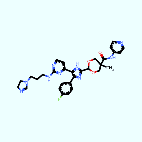 CC1(C(=O)Nc2ccncc2)COC(c2nc(-c3ccc(F)cc3)c(-c3ccnc(NCCCN4C=NCC4)n3)[nH]2)OC1